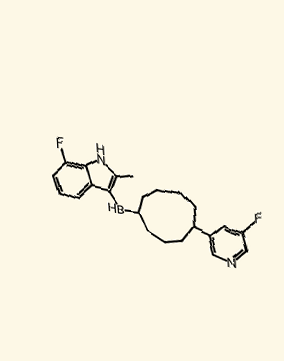 Cc1[nH]c2c(F)cccc2c1BC1CCCCC(c2cncc(F)c2)CCC1